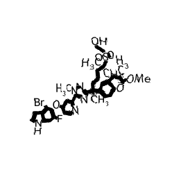 COC(=O)[C@H](C)Cc1cccc([C@@](C)(CCCC(C)(C)CS(=O)(=O)CCO)c2nc(-c3cc(Oc4c(F)cc5[nH]ccc5c4Br)ccn3)n(C)n2)c1